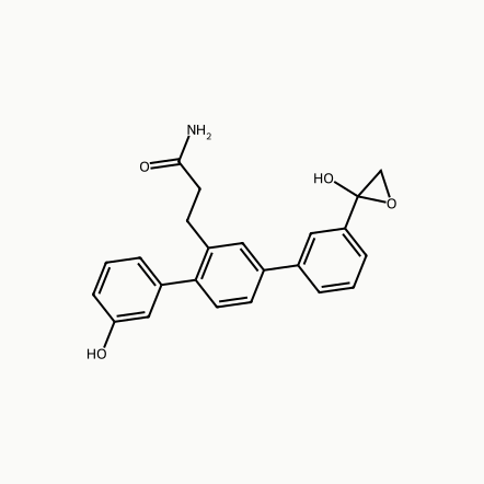 NC(=O)CCc1cc(-c2cccc(C3(O)CO3)c2)ccc1-c1cccc(O)c1